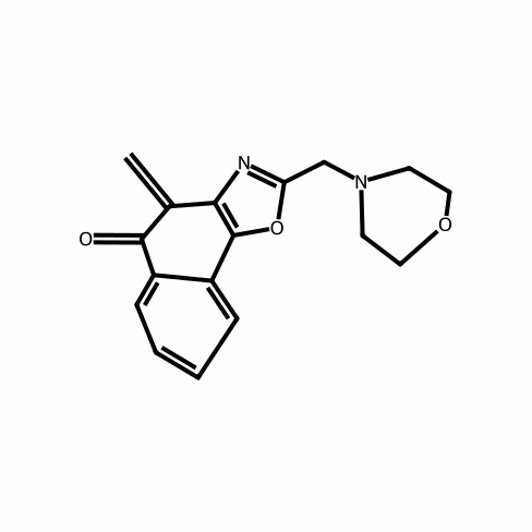 C=C1C(=O)c2ccccc2-c2oc(CN3CCOCC3)nc21